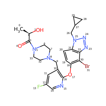 C[C@@H](O)C(=O)N1CCN(Cc2cc(F)cnc2Oc2ccc3c(nnn3CC3CC3)c2Br)CC1